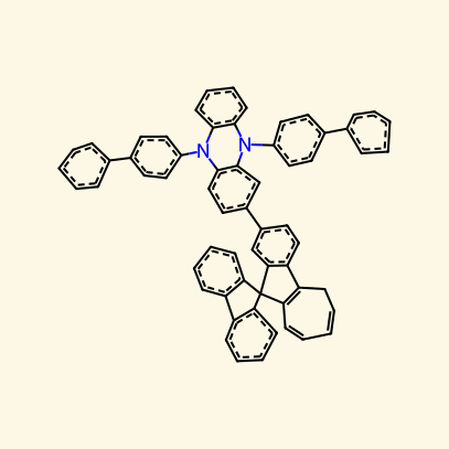 C1=CCC2=C(C=C1)C1(c3cc(-c4ccc5c(c4)N(c4ccc(-c6ccccc6)cc4)c4ccccc4N5c4ccc(-c5ccccc5)cc4)ccc32)c2ccccc2-c2ccccc21